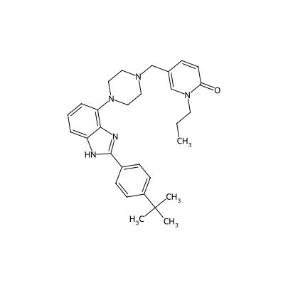 CCCn1cc(CN2CCN(c3cccc4[nH]c(-c5ccc(C(C)(C)C)cc5)nc34)CC2)ccc1=O